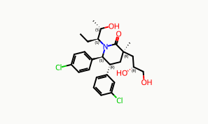 CC[C@@H]([C@H](C)O)N1C(=O)[C@@](C)(C[C@@H](O)CO)C[C@H](c2cccc(Cl)c2)[C@H]1c1ccc(Cl)cc1